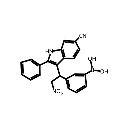 N#Cc1ccc2c(C(C[N+](=O)[O-])c3cccc(B(O)O)c3)c(-c3ccccc3)[nH]c2c1